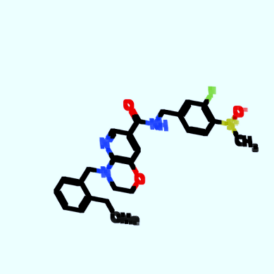 COCc1ccccc1CN1CCOc2cc(C(=O)NCc3ccc([S+](C)[O-])c(F)c3)cnc21